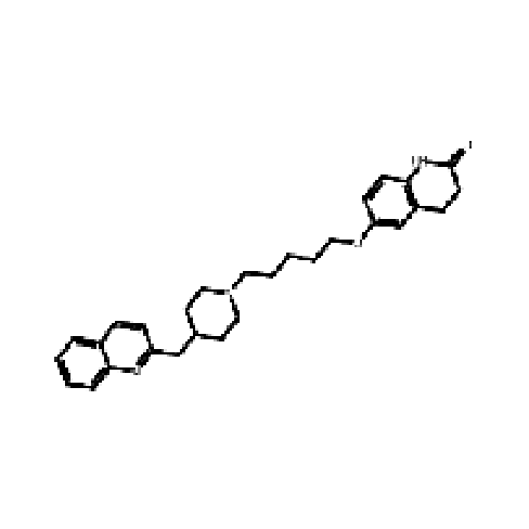 O=C1CCc2cc(OCCCCCN3CCC(Cc4ccc5ccccc5n4)CC3)ccc2N1